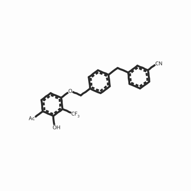 CC(=O)c1ccc(OCc2ccc(Cc3cccc(C#N)c3)cc2)c(C(F)(F)F)c1O